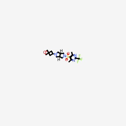 Cc1nc(C(F)(F)F)nc(C)c1S(=O)(=O)N1C[C@H]2CN(C3CC4(COC4)C3)C[C@@H]2C1